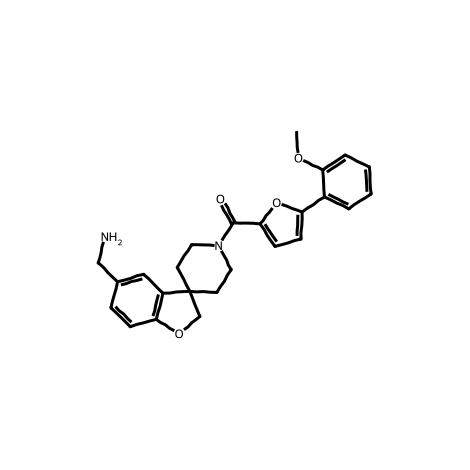 COc1ccccc1-c1ccc(C(=O)N2CCC3(CC2)COc2ccc(CN)cc23)o1